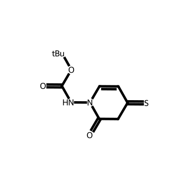 CC(C)(C)OC(=O)NN1C=CC(=S)CC1=O